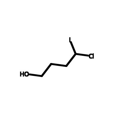 OCCCC(Cl)I